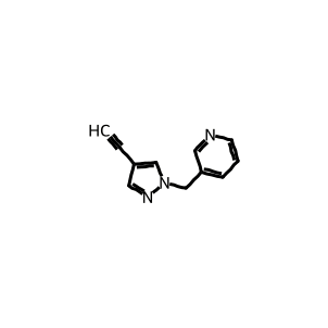 C#Cc1cnn(Cc2cccnc2)c1